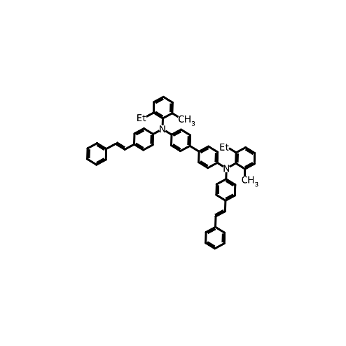 CCc1cccc(C)c1N(c1ccc(C=Cc2ccccc2)cc1)c1ccc(-c2ccc(N(c3ccc(C=Cc4ccccc4)cc3)c3c(C)cccc3CC)cc2)cc1